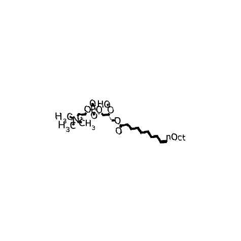 CCCCCCCC/C=C\CCCCCCCC(=O)OC[C@H](COP(=O)([O-])OCC[N+](C)(C)C)OO